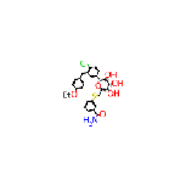 CCOc1ccc(Cc2cc([C@@H]3O[C@H](CSc4cccc(C(N)=O)c4)[C@H](O)[C@@H](O)[C@H]3O)ccc2Cl)cc1